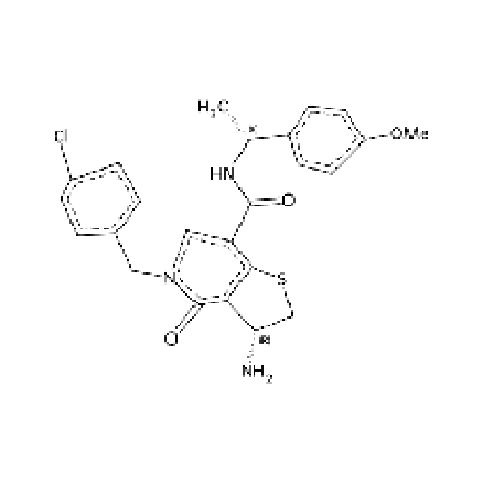 COc1ccc([C@@H](C)NC(=O)c2cn(Cc3ccc(Cl)cc3)c(=O)c3c2SC[C@@H]3N)cc1